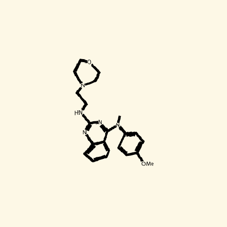 COc1ccc(N(C)c2nc(NCCN3CCOCC3)nc3ccccc23)cc1